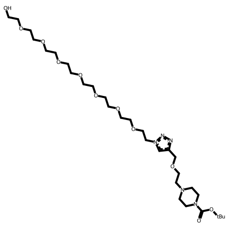 CC(C)(C)OC(=O)N1CCN(CCOCc2cn(CCOCCOCCOCCOCCOCCOCCOCCO)nn2)CC1